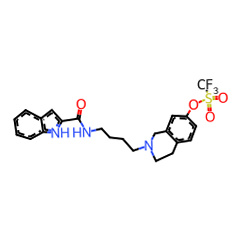 O=C(NCCCCN1CCc2ccc(OS(=O)(=O)C(F)(F)F)cc2C1)c1cc2ccccc2[nH]1